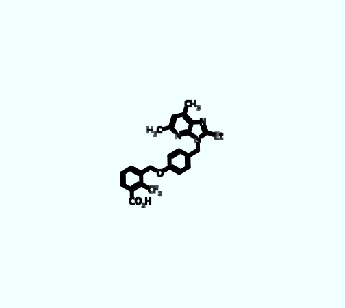 CCc1nc2c(C)cc(C)nc2n1Cc1ccc(OCc2cccc(C(=O)O)c2C(F)(F)F)cc1